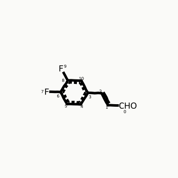 O=CC=Cc1ccc(F)c(F)c1